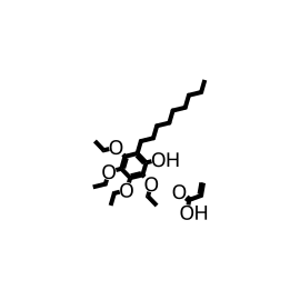 C=CC(=O)O.CCCCCCCCCc1c(O)c(OCC)c(OCC)c(OCC)c1OCC